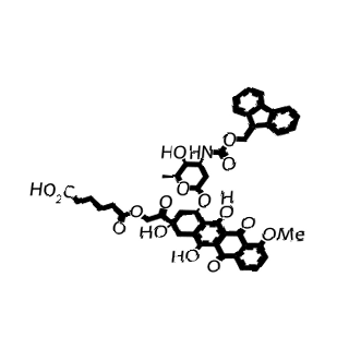 COc1cccc2c1C(=O)c1c(O)c3c(c(O)c1C2=O)C[C@@](O)(C(=O)COC(=O)CCCCC(=O)O)C[C@@H]3OC1C[C@H](NC(=O)OCC2c3ccccc3-c3ccccc32)[C@H](O)[C@H](C)O1